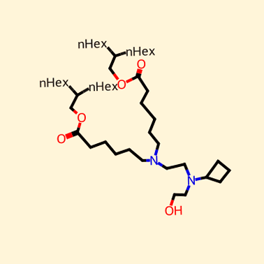 CCCCCCC(CCCCCC)COC(=O)CCCCCN(CCCCCC(=O)OCC(CCCCCC)CCCCCC)CCN(CCO)C1CCC1